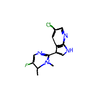 CC1C(F)=CN=C(c2c[nH]c3ncc(Cl)cc23)N1C